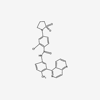 Cc1ccc(NC(=O)c2ccc(N3CCCS3(=O)=O)cc2Cl)cc1-c1nccc2ncccc12